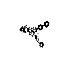 CNC(=O)[C@@H](Cc1cccs1)N(C)C(=O)[C@@H](CC(=O)c1ccc(-c2ccccc2)cc1)N(C)C(=O)COC[C@@H]1CCCN1